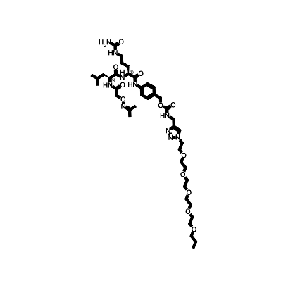 CCCOCCOCCOCCOCCOCCn1cc(CNC(=O)OCc2ccc(NC(=O)[C@H](CCCNC(N)=O)NC(=O)[C@H](CC(C)C)NC(=O)CON=C(C)C)cc2)nn1